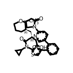 C[C@H]1OCCC[C@@H]1C[C@H](CC(=O)O)C(=O)N(c1nc(-c2ccccc2-c2ccc(N3CCCC3=O)nc2)cs1)C1CC1